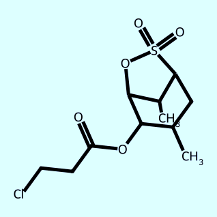 CC1CC2C(C)C(OS2(=O)=O)C1OC(=O)CCCl